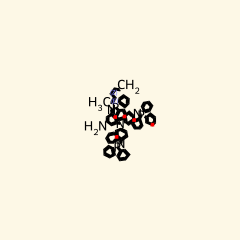 C=C/C=C\C=C(/C)P(=Nc1cc(N)cc(N(c2ccc(N=P(c3ccccc3)(c3ccccc3)c3ccccc3)cc2)c2ccc(N=P(c3ccccc3)(c3ccccc3)c3ccccc3)cc2)c1)(c1ccccc1)c1ccccc1